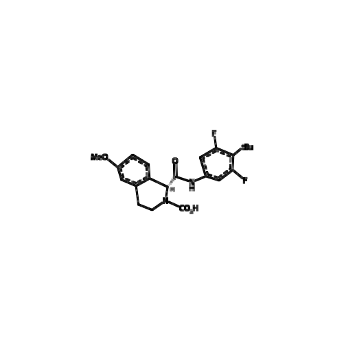 COc1ccc2c(c1)CCN(C(=O)O)[C@H]2C(=O)Nc1cc(F)c(C(C)(C)C)c(F)c1